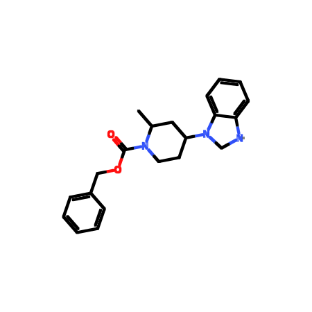 CC1CC(N2C[N]c3ccccc32)CCN1C(=O)OCc1ccccc1